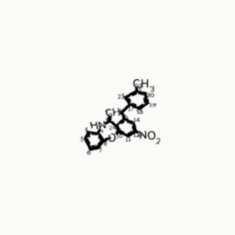 C=C1Nc2ccccc2Oc2cc([N+](=O)[O-])cc(Cc3cccc(C)c3)c21